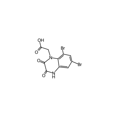 O=C(O)Cn1c(=O)c(=O)[nH]c2cc(Br)cc(Br)c21